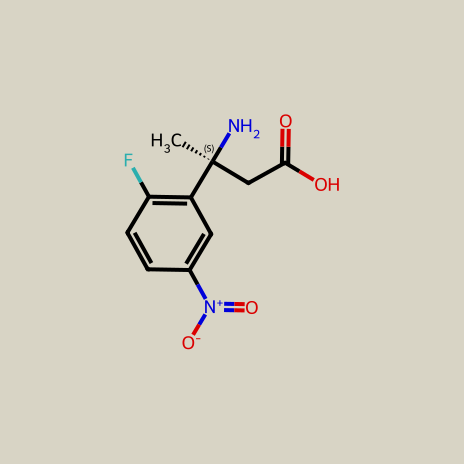 C[C@](N)(CC(=O)O)c1cc([N+](=O)[O-])ccc1F